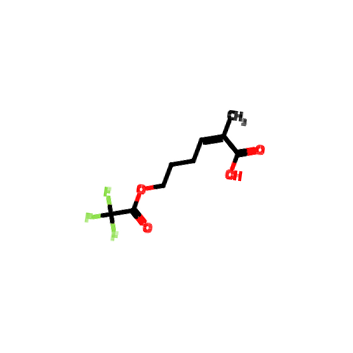 CC(=CCCCOC(=O)C(F)(F)F)C(=O)O